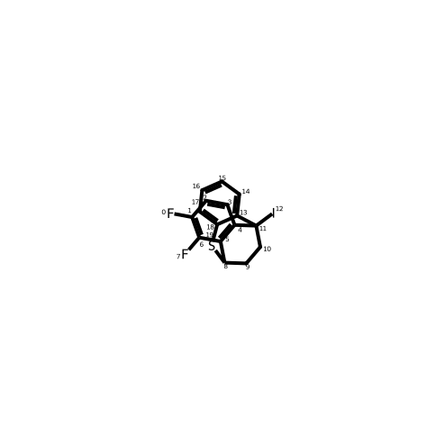 Fc1ccc2c(c1F)C1CCC2(I)c2ccccc2S1